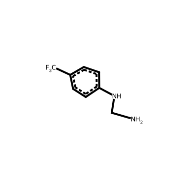 NCNc1ccc(C(F)(F)F)cc1